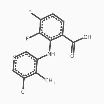 Cc1c(Cl)cncc1Nc1c(C(=O)O)ccc(F)c1F